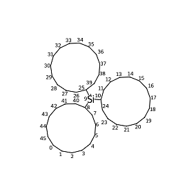 C1CCCCCCCC([Si](C2CCCCCCCCCCCCCC2)C2CCCCCCCCCCCCCC2)CCCCCC1